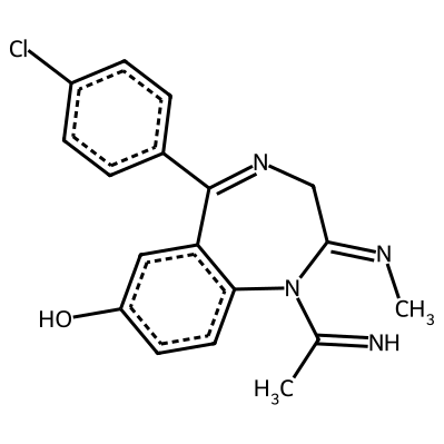 C/N=C1/CN=C(c2ccc(Cl)cc2)c2cc(O)ccc2N1C(C)=N